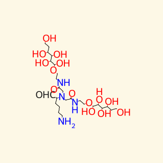 NCCCC[C@@H](C=O)N(CC(=O)NCCOC(O)C(O)C(O)C(O)CCO)CC(=O)NCCOC(O)C(O)C(O)C(O)CCO